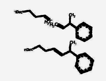 C=CC(C)c1ccccc1.C=CCCCCCCCCCCCC.CCCCCCCCCCCCC=CC(C)c1ccccc1